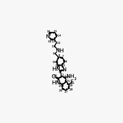 Nc1c(-c2nc3ccc(CNCCc4cccnc4)cc3[nH]2)c(=O)[nH]c2cccc(F)c12